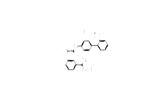 CCCC(Oc1cccc(C(=N)N)c1)C(=O)Nc1ccc(-c2ccccc2S(C)(=O)=O)cc1